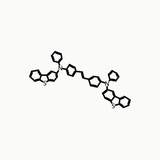 C(=C\c1ccc(N(c2ccccc2)c2ccc3sc4ccccc4c3c2)cc1)/c1ccc(N(c2ccccc2)c2ccc3sc4ccccc4c3c2)cc1